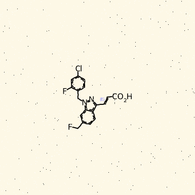 O=C(O)/C=C/c1nn(Cc2ccc(Cl)cc2F)c2cc(CF)ccc12